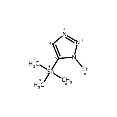 CCn1nnc[c]1[Sn]([CH3])([CH3])[CH3]